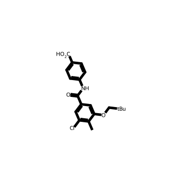 Cc1c(Cl)cc(C(=O)Nc2ccc(C(=O)O)cc2)cc1OCC(C)(C)C